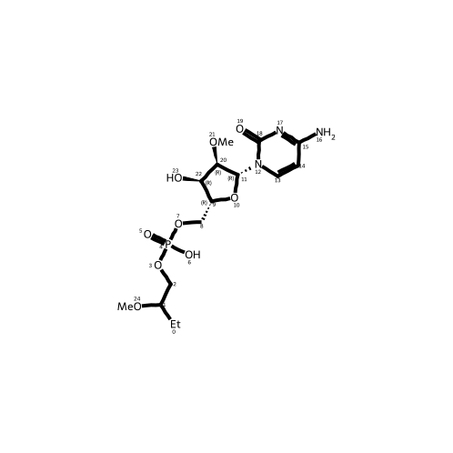 CCC(COP(=O)(O)OC[C@H]1O[C@@H](n2ccc(N)nc2=O)[C@H](OC)[C@@H]1O)OC